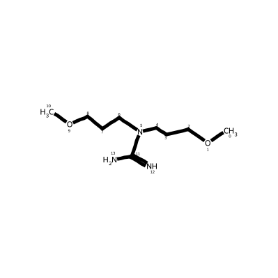 COCCCN(CCCOC)C(=N)N